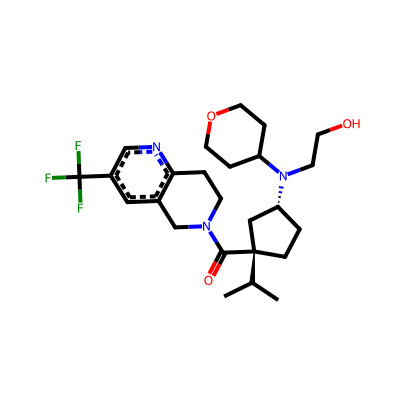 CC(C)[C@]1(C(=O)N2CCc3ncc(C(F)(F)F)cc3C2)CC[C@@H](N(CCO)C2CCOCC2)C1